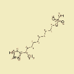 CC(CCCCCCCCCOS(=O)(=O)O)c1c[nH]nn1